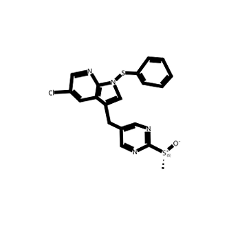 C[S@@+]([O-])c1ncc(Cc2cn(Sc3ccccc3)c3ncc(Cl)cc23)cn1